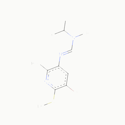 CSc1nc(C)c(/N=C/N(C)C(C)C)cc1Br